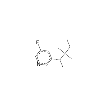 CCC(C)(C)C(C)c1cncc(F)c1